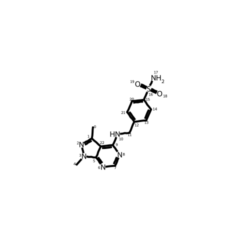 Cc1nn(C)c2ncnc(NCc3ccc(S(N)(=O)=O)cc3)c12